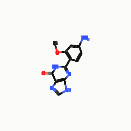 CCOc1cc(N)ccc1-c1nc2[nH]cnc2c(=O)[nH]1